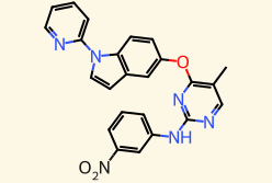 Cc1cnc(Nc2cccc([N+](=O)[O-])c2)nc1Oc1ccc2c(ccn2-c2ccccn2)c1